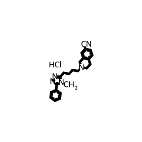 Cl.Cn1c(CCCCN2CCc3ccc(C#N)cc3C2)nnc1-c1ccccc1